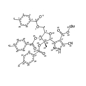 Cc1ccc(C(=O)OCC2OC(c3n[nH]c(C#N)c3C(=O)OC(C)(C)C)[C@](C)(OC(=O)c3ccc(C)cc3)[C@@H]2OC(=O)c2ccc(C)cc2)cc1